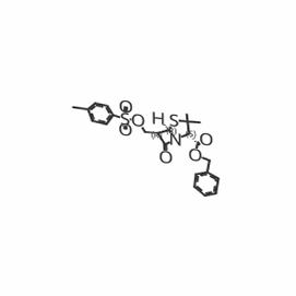 Cc1ccc(S(=O)(=O)OC[C@@H]2C(=O)N3[C@@H]2SC(C)(C)[C@@H]3C(=O)OCc2ccccc2)cc1